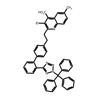 CCc1c(CCc2ccc(-c3ccccc3-c3nnn(C(c4ccccc4)(c4ccccc4)c4ccccc4)n3)cc2)nc2ccc(C)cc2c1C(=O)O